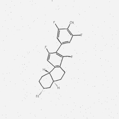 CC[C@@H]1CC[C@@H]2c3cc(F)c(-c4cc(F)c(C#N)c(F)c4)c(F)c3CC[C@H]2C1